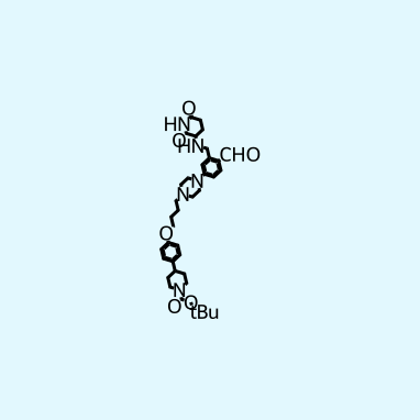 CC(C)(C)OC(=O)N1CCC(c2ccc(OCCCCN3CCN(c4ccc(C=O)c(CNC5CCC(=O)NC5=O)c4)CC3)cc2)CC1